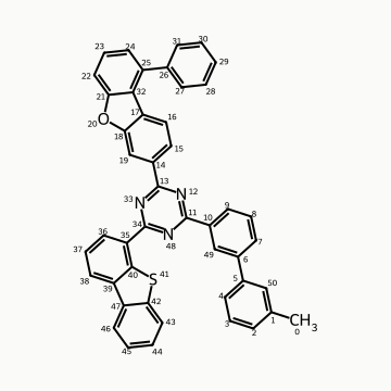 Cc1cccc(-c2cccc(-c3nc(-c4ccc5c(c4)oc4cccc(-c6ccccc6)c45)nc(-c4cccc5c4sc4ccccc45)n3)c2)c1